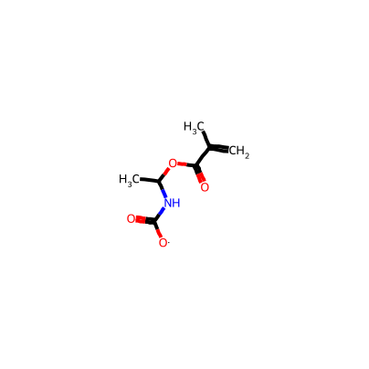 C=C(C)C(=O)OC(C)NC([O])=O